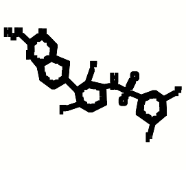 Nc1ncc2cc(-c3c(F)ccc(NS(=O)(=O)c4cc(F)cc(F)c4)c3F)ccc2n1